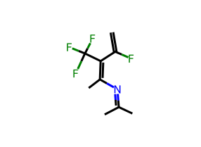 C=C(F)/C(=C(/C)N=C(C)C)C(F)(F)F